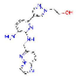 Nc1ccc(-c2cnn(CCO)c2)nc1NCc1ccc2nccn2n1